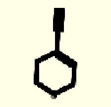 C#CC1=CCSCC1